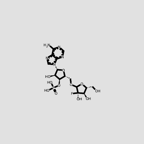 Nc1ncnc2c1ncn2[C@@H]1O[C@H](COC2O[C@H](CO)[C@@H](O)[C@@]2(O)F)[C@@H](OP(=O)(O)O)[C@H]1O